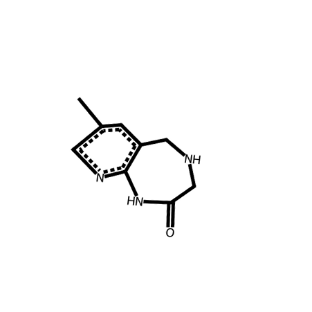 Cc1cnc2c(c1)CNCC(=O)N2